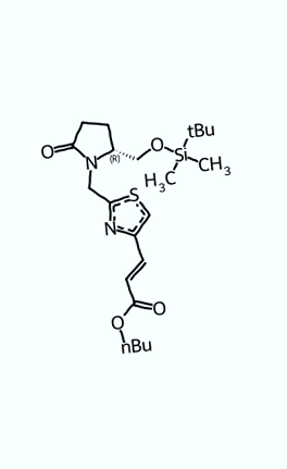 CCCCOC(=O)C=Cc1csc(CN2C(=O)CC[C@@H]2CO[Si](C)(C)C(C)(C)C)n1